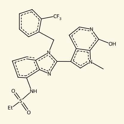 CCS(=O)(=O)Nc1cccc2c1nc(-c1cn(C)c3c(O)nccc13)n2Cc1ccccc1C(F)(F)F